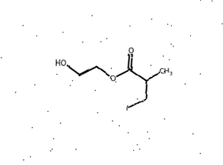 CC(CI)C(=O)OCCO